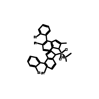 CCc1ccccc1-c1c(C(C)C)ccc2c1C=C(C)[CH]2[Zr]([Cl])([Cl])([CH]1C(C)=Cc2c1ccc(C(C)C)c2-c1ccccc1CC)[SiH](C)C